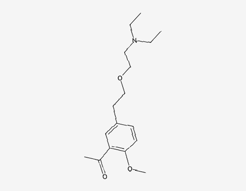 CCN(CC)CCOCCc1ccc(OC)c(C(C)=O)c1